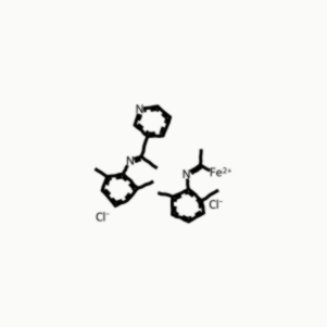 CC(=Nc1c(C)cccc1C)c1cccnc1.C[C]([Fe+2])=Nc1c(C)cccc1C.[Cl-].[Cl-]